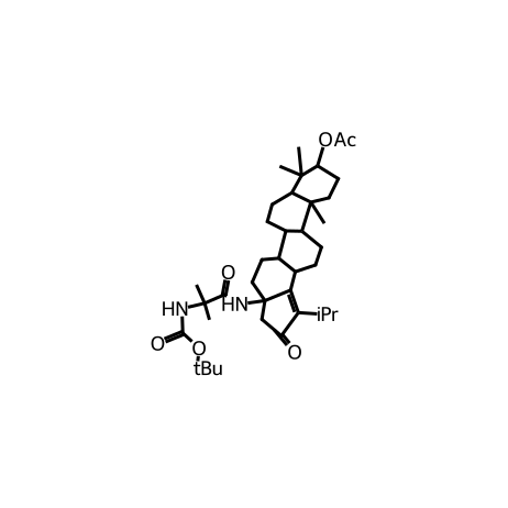 CC(=O)OC1CCC2(C)C3CCC4C5=C(C(C)C)C(=O)CC5(NC(=O)C(C)(C)NC(=O)OC(C)(C)C)CCC4C3CCC2C1(C)C